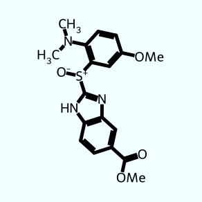 COC(=O)c1ccc2[nH]c([S+]([O-])c3cc(OC)ccc3N(C)C)nc2c1